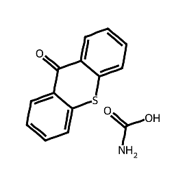 NC(=O)O.O=c1c2ccccc2sc2ccccc12